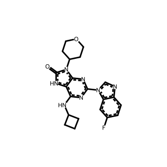 O=c1[nH]c2c(NC3CCC3)nc(-n3cnc4ccc(F)cc43)nc2n1C1CCOCC1